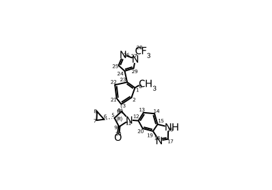 Cc1cc([C@H]2[C@@H](C3CC3)C(=O)N2c2ccc3[nH]cnc3c2)ccc1-c1cnn(C(F)(F)F)c1